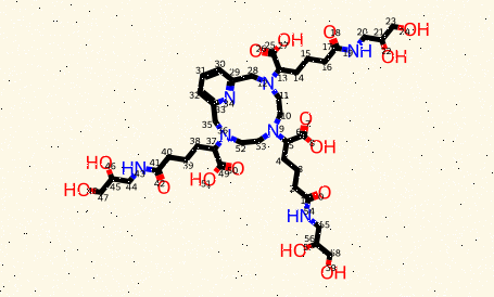 O=C(CCCC(C(=O)O)N1CCN(C(CCCC(=O)NCC(O)CO)C(=O)O)Cc2cccc(n2)CN(C(CCCC(=O)NCC(O)CO)C(=O)O)CC1)NCC(O)CO